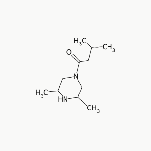 CC(C)CC(=O)N1CC(C)NC(C)C1